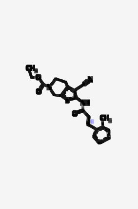 CCOC(=O)N1CCc2c(sc(NC(=O)/C=C/c3ccccc3C)c2C#N)C1